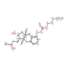 CC[C@H](O)CC[C@@H]1[C@H]2Cc3cccc(OCC(=O)OCCCC(=O)O)c3C[C@H]2C[C@H]1O